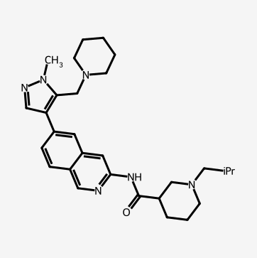 CC(C)CN1CCCC(C(=O)Nc2cc3cc(-c4cnn(C)c4CN4CCCCC4)ccc3cn2)C1